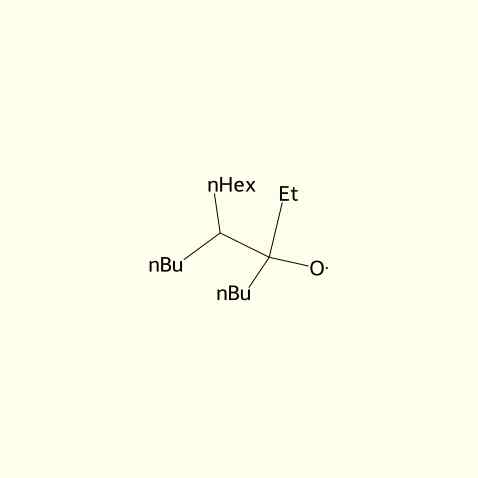 CCCCCCC(CCCC)C([O])(CC)CCCC